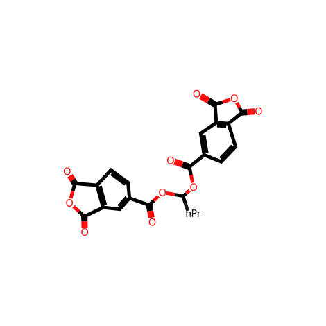 CCCC(OC(=O)c1ccc2c(c1)C(=O)OC2=O)OC(=O)c1ccc2c(c1)C(=O)OC2=O